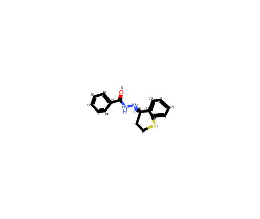 O=C(N/N=C1\CCSc2ccccc21)c1ccccc1